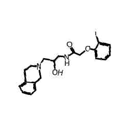 O=C(COc1ccccc1I)NCC(O)CN1CCc2ccccc2C1